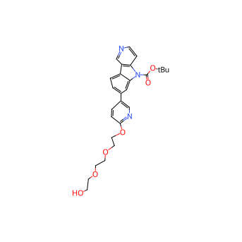 CC(C)(C)OC(=O)n1c2ccncc2c2ccc(-c3ccc(OCCOCCOCCO)nc3)cc21